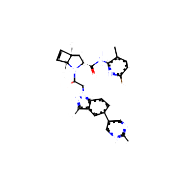 CC[C@]12C=C[C@H]1N(C(O)Cn1nc(C(C)=O)c3cc(-c4cnc(C)nc4)ccc31)[C@H](C(=O)Nc1nc(Br)ccc1C)C2